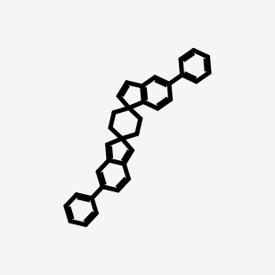 C1=CC2(CCC3(C=c4ccc(-c5ccccc5)cc4=C3)CC2)c2ccc(-c3ccccc3)cc21